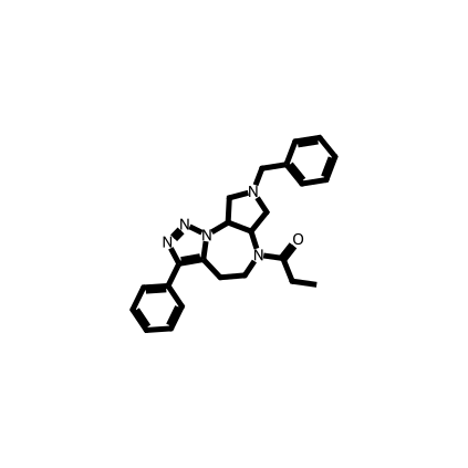 CCC(=O)N1CCc2c(-c3ccccc3)nnn2C2CN(Cc3ccccc3)CC21